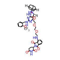 N#Cc1cnc(NCc2ccccc2OC(F)(F)F)nc1NCC12CC3C[C@H](C1)C(NCCOCCOCCOCCNc1cccc4c1C(=O)N(C1CCC(=O)NC1=O)C4=O)[C@@H](C3)C2